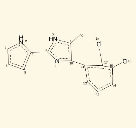 Cc1[nH]c(-c2ccc[nH]2)nc1-c1cccc(Cl)c1Cl